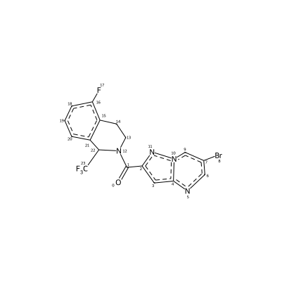 O=C(c1cc2ncc(Br)cn2n1)N1CCc2c(F)cccc2C1C(F)(F)F